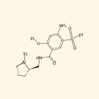 CCOc1cc(N)c(S(=O)(=O)CC)cc1C(=O)NC[C@H]1CCCN1CC